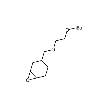 CCC(C)OCCOCC1CCC2OC2C1